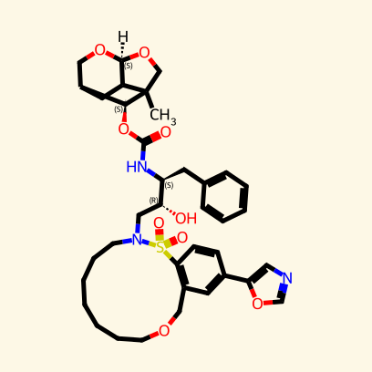 CC12CO[C@@H]3OCC(CC31)[C@@H]2OC(=O)N[C@@H](Cc1ccccc1)[C@H](O)CN1CCCCCCCOCc2cc(-c3cnco3)ccc2S1(=O)=O